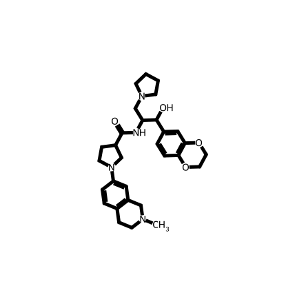 CN1CCc2ccc(N3CCC(C(=O)NC(CN4CCCC4)C(O)c4ccc5c(c4)OCCO5)C3)cc2C1